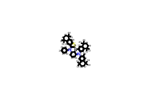 Cc1cc2c(cc1N1c3cc4c(cc3B3c5sc6cc7c(cc6c5N(c5ccccc5)C5=CC=CC1C35)C(C)(C)CCC7(C)C)C(C)(C)CCC4(C)C)C(C)(C)CCC2(C)C